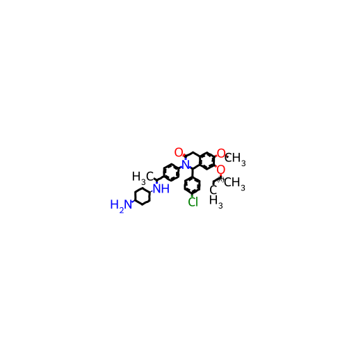 CC[C@@H](C)Oc1cc2c(cc1OC)CC(=O)N(c1ccc(C(C)N[C@H]3CC[C@H](N)CC3)cc1)C2c1ccc(Cl)cc1